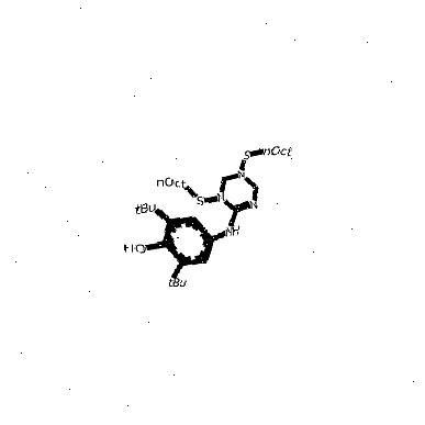 CCCCCCCCSN1CN=C(Nc2cc(C(C)(C)C)c(O)c(C(C)(C)C)c2)N(SCCCCCCCC)C1